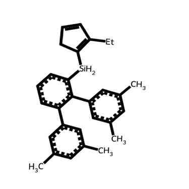 CCC1=C([SiH2]c2cccc(-c3cc(C)cc(C)c3)c2-c2cc(C)cc(C)c2)CC=C1